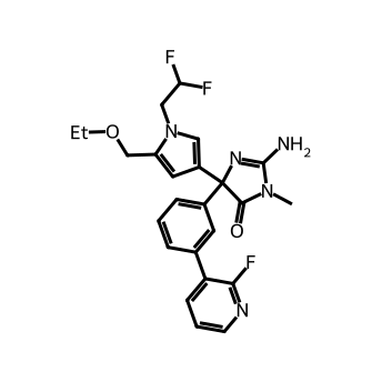 CCOCc1cc(C2(c3cccc(-c4cccnc4F)c3)N=C(N)N(C)C2=O)cn1CC(F)F